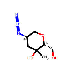 CC1(O)C[C@@H](N=[N+]=[N-])CO[C@@H]1CO